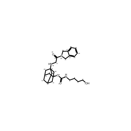 O=C(NCCCCO)OC12CC3CC(CC(NCC(=O)N4Cc5ccccc5C4)(C3)C1)C2